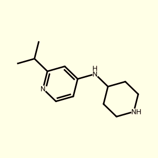 CC(C)c1cc(NC2CCNCC2)ccn1